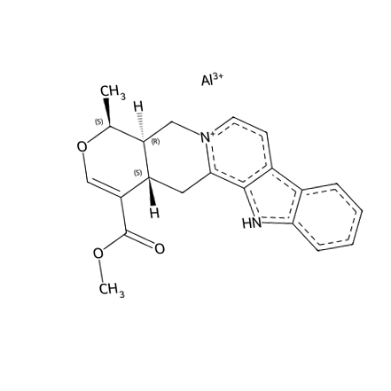 COC(=O)C1=CO[C@@H](C)[C@H]2C[n+]3ccc4c([nH]c5ccccc54)c3C[C@H]12.[Al+3]